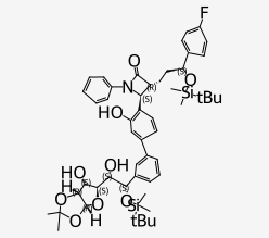 CC1(C)O[C@H]2O[C@H]([C@H](O)[C@@H](O[Si](C)(C)C(C)(C)C)c3cccc(-c4ccc([C@@H]5[C@@H](CC[C@H](O[Si](C)(C)C(C)(C)C)c6ccc(F)cc6)C(=O)N5c5ccccc5)c(O)c4)c3)[C@H](O)[C@H]2O1